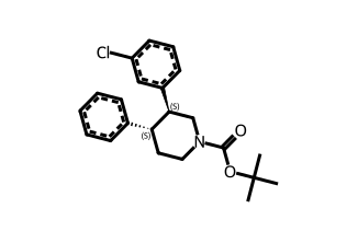 CC(C)(C)OC(=O)N1CC[C@H](c2ccccc2)[C@@H](c2cccc(Cl)c2)C1